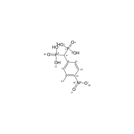 Cc1cc(C(P(=O)(O)O)P(=O)(O)O)ccc1[N+](=O)[O-]